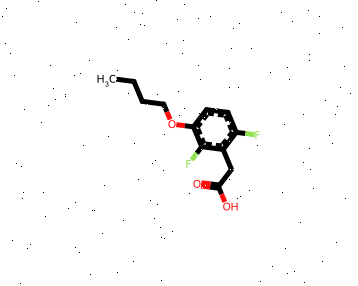 CCCCOc1ccc(F)c(CC(=O)O)c1F